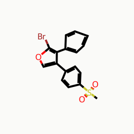 CS(=O)(=O)c1ccc(-c2coc(Br)c2-c2ccccc2)cc1